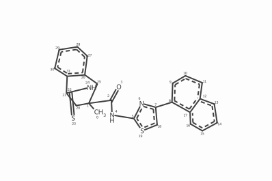 CC1(C(=O)Nc2nc(-c3cccc4ccccc34)cs2)CC2C(=S)NC1c1ccccc12